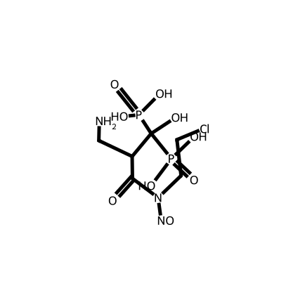 NCC(C(=O)N(CCCl)N=O)C(O)(P(=O)(O)O)P(=O)(O)O